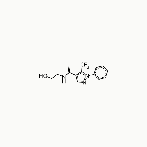 C=C(NCCO)c1cnn(-c2ccccc2)c1C(F)(F)F